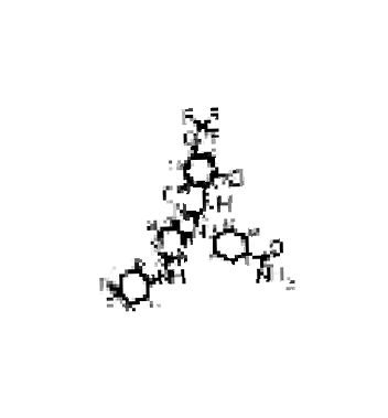 NC(=O)[C@H]1CC[C@H](n2c(Nc3c(Cl)cc(OC(F)(F)F)cc3Cl)nc3cnc(NC4CCC(F)(F)CC4)nc32)CC1